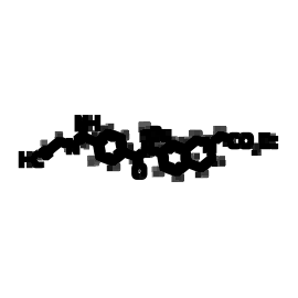 C#CCN=C(N)c1ccc(C(=O)N(CCCC)c2ccc3c(c2)CN(CC(=O)OCC)CC3)cc1